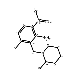 Cc1ccc([N+](=O)[O-])c(N)c1CN1CCCCC1C